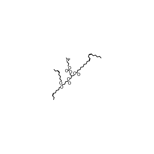 CC/C=C\CCCCOC(CCC(=O)OCC(COC(=O)CCCCCCC/C=C\C/C=C\CCCCC)COC(=O)OCCCN(C)C)OCCCC/C=C\CC